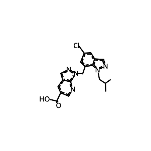 CC(C)Cn1ncc2cc(Cl)cc(Cn3ncc4cc(C(=O)O)cnc43)c21